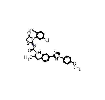 CC(Cc1ccc(-c2ncn(-c3ccc(OC(F)(F)F)cc3)n2)cc1)NC(=O)/N=C1\SCC(=O)N1c1cc(Cl)ccc1C(C)C